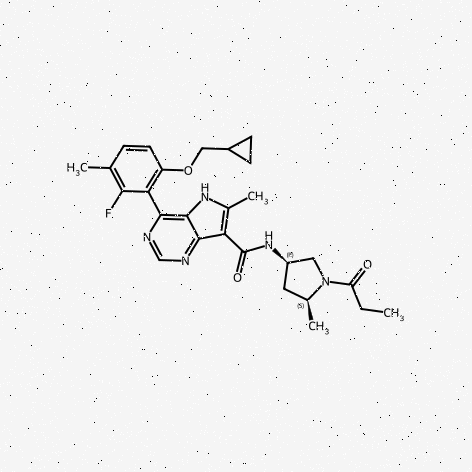 CCC(=O)N1C[C@H](NC(=O)c2c(C)[nH]c3c(-c4c(OCC5CC5)ccc(C)c4F)ncnc23)C[C@@H]1C